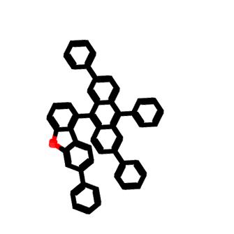 c1ccc(-c2ccc3c(c2)oc2cccc(-c4c5ccc(-c6ccccc6)cc5c(-c5ccccc5)c5ccc(-c6ccccc6)cc45)c23)cc1